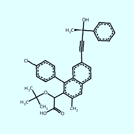 Cc1cc2ccc(C#C[C@](C)(O)c3ccccc3)cc2c(-c2ccc(Cl)cc2)c1C(OC(C)(C)C)C(=O)O